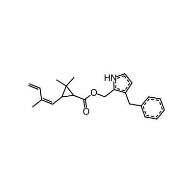 C=CC(C)=CC1C(C(=O)OCc2[nH]ccc2Cc2ccccc2)C1(C)C